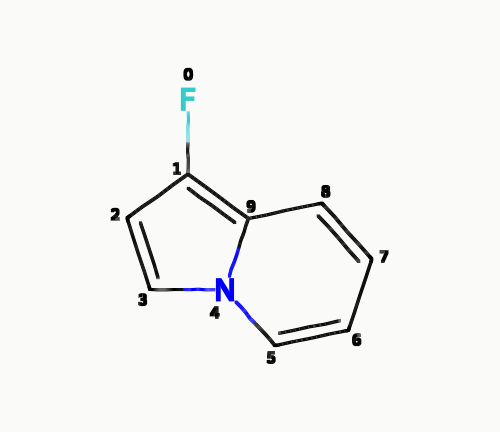 Fc1ccn2ccccc12